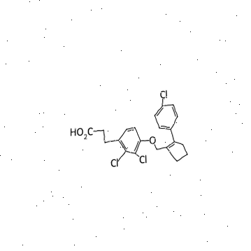 O=C(O)CCc1ccc(OCC2=C(c3ccc(Cl)cc3)CCC2)c(Cl)c1Cl